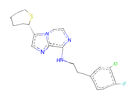 Fc1ccc(CCNc2nccn3c([C@@H]4CCCS4)cnc23)cc1Cl